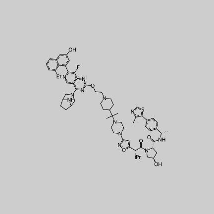 CCc1cccc2cc(O)cc(-c3ncc4c(N5CC6CCC(C5)N6)nc(OCCN5CCC(C(C)(C)N6CCN(c7cc([C@H](C(=O)N8C[C@H](O)C[C@H]8C(=O)N[C@@H](C)c8ccc(-c9scnc9C)cc8)C(C)C)on7)CC6)CC5)nc4c3F)c12